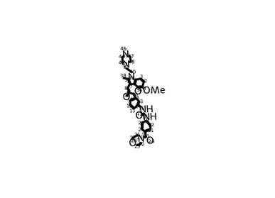 COc1ccc2c(c1)c(C=C1Oc3ccc(NC(=O)Nc4ccc(C(=O)N5CCOCC5)cc4)cc3C1=O)c(C)n2CCN1CCN(C)CC1